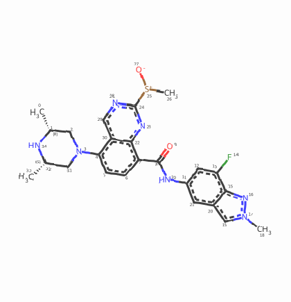 C[C@@H]1CN(c2ccc(C(=O)Nc3cc(F)c4nn(C)cc4c3)c3nc([S+](C)[O-])ncc23)C[C@H](C)N1